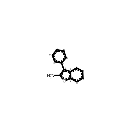 Nc1oc2ccccc2c1-c1ccccc1